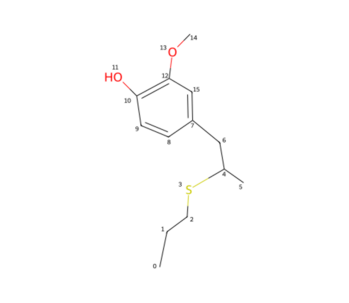 CCCSC(C)Cc1ccc(O)c(OC)c1